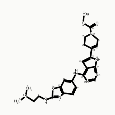 CN(C)CCNc1nc2ccc(Nc3ncnc4[nH]c(C5=CCN(C(=O)OC(C)(C)C)CC5)cc34)cc2s1